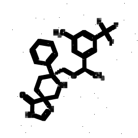 Cc1cc([C@@H](C)OC[C@@]2(c3ccccc3)CC[C@@]3(CN2)N=CNC3=O)cc(C(F)(F)F)c1